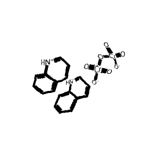 [O]=[Cr](=[O])([O-])[O][Cr](=[O])(=[O])[O-].c1ccc2[nH+]cccc2c1.c1ccc2[nH+]cccc2c1